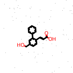 O=C(O)/C=C/c1ccc(CO)cc1-c1ccccc1